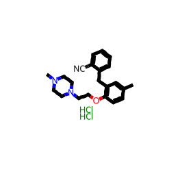 Cc1ccc(OCCN2CCN(C)CC2)c(Cc2ccccc2C#N)c1.Cl.Cl